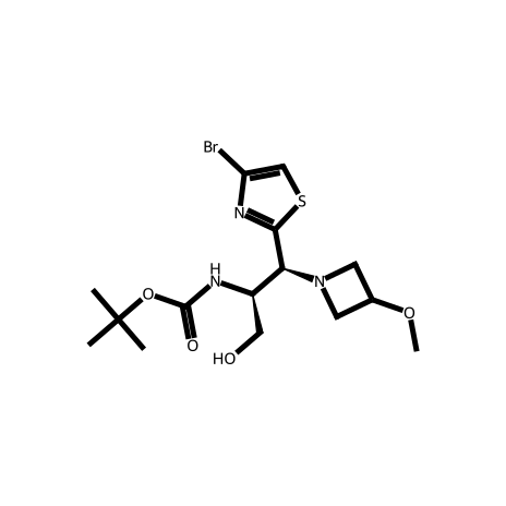 COC1CN([C@H](c2nc(Br)cs2)[C@@H](CO)NC(=O)OC(C)(C)C)C1